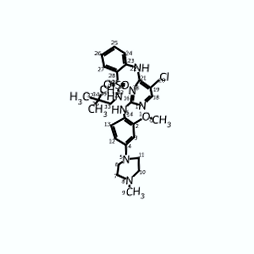 COc1cc(N2CCN(C)CC2)ccc1Nc1ncc(Cl)c(Nc2ccccc2S(=O)(=O)NCC(C)(C)C)n1